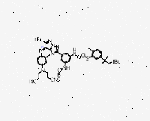 Cc1cc(N(CCC#N)CCC#N)ccc1/N=C1/C(C(C)(C)C)=Nn2nc(-c3cc(NOB=S)cc(NOOSc4cc(C(C)(C)CC(C)(C)C)ccc4C)c3)nc21